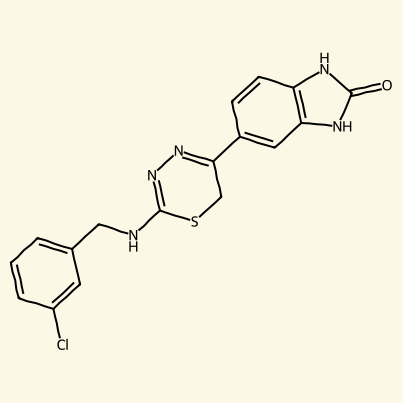 O=c1[nH]c2ccc(C3=NN=C(NCc4cccc(Cl)c4)SC3)cc2[nH]1